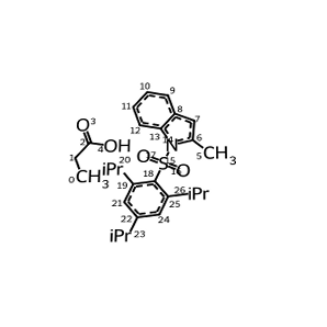 CCC(=O)O.Cc1cc2ccccc2n1S(=O)(=O)c1c(C(C)C)cc(C(C)C)cc1C(C)C